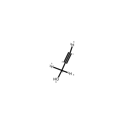 [2H]C#CC([2H])([2H])O